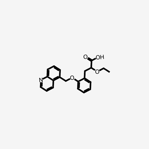 CCOC(Cc1ccccc1OCc1cccc2ncccc12)C(=O)O